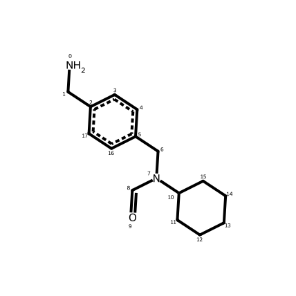 NCc1ccc(CN(C=O)C2CCCCC2)cc1